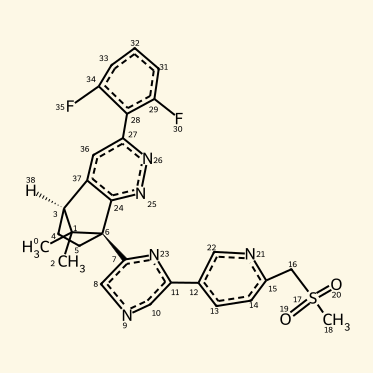 CC1(C)[C@H]2CC[C@@]1(c1cncc(-c3ccc(CS(C)(=O)=O)nc3)n1)c1nnc(-c3c(F)cccc3F)cc12